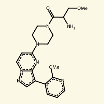 COCC(N)C(=O)N1CCN(c2ccn3ncc(-c4cccnc4OC)c3n2)CC1